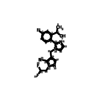 CC(O)c1cc(F)ccc1-c1nccn1Cc1cnn(CC(F)F)c1Br